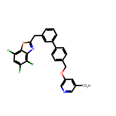 O=C(O)c1cncc(OCc2ccc(-c3cccc(Cc4nc5c(F)c(F)cc(F)c5s4)c3)cc2)c1